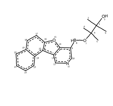 CC(C)(O)C(C)(C)OBc1cncc2c1oc1ccc3ccccc3c12